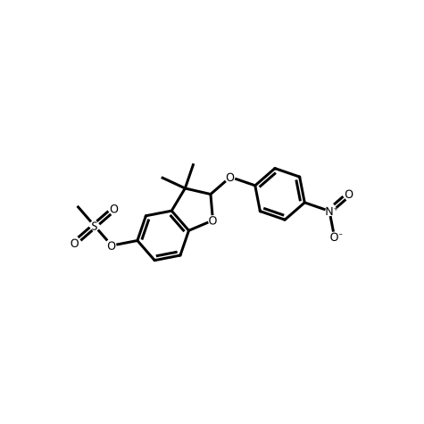 CC1(C)c2cc(OS(C)(=O)=O)ccc2OC1Oc1ccc([N+](=O)[O-])cc1